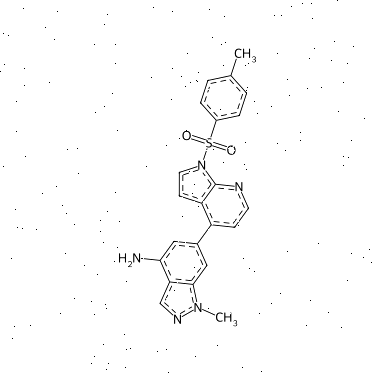 Cc1ccc(S(=O)(=O)n2ccc3c(-c4cc(N)c5cnn(C)c5c4)ccnc32)cc1